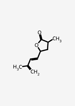 C=C(C)C=CC1CC(C)C(=O)O1